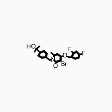 Cc1cc(OCc2ccc(F)cc2F)c(Br)c(=O)n1Cc1ccc(C(C)(C)O)cc1